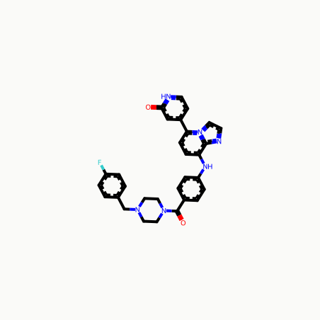 O=C(c1ccc(Nc2ccc(-c3cc[nH]c(=O)c3)n3ccnc23)cc1)N1CCN(Cc2ccc(F)cc2)CC1